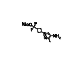 COC(F)(F)C1CC(n2cc(N)c(C)n2)C1